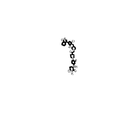 COc1cc(-c2cn(C)c(=O)c3ccccc23)cc(Cl)c1CC1CCN(CC(=O)C2CCN(c3ccc(NC4CCC(=O)NC4=O)cc3F)CC2)CC1